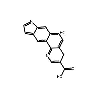 Cl.O=C(O)C1=CN=c2c(ccc3cc4c(cc23)=CC=N4)C1